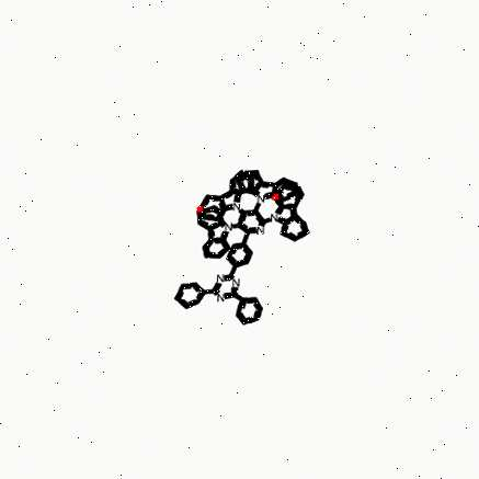 c1ccc(-c2nc(-c3ccccc3)nc(-c3ccc(-c4nc(-n5c6ccccc6c6ccccc65)c(-n5c6ccccc6c6ccccc65)c(-n5c6ccccc6c6ccccc65)c4-n4c5ccccc5c5ccccc54)cc3)n2)cc1